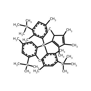 CC1=C(C)C(C)C([Si](c2cc(C)cc([Si](C)(C)C)c2C)(c2cc(C)cc([Si](C)(C)C)c2C)c2cc(C)cc([Si](C)(C)C)c2C)=C1C